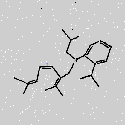 CC(C)=C/C=C\C(CN(CC(C)C)c1ccccc1C(C)C)=C(C)C